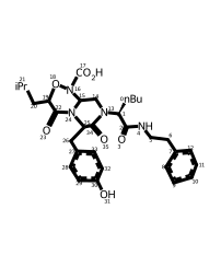 CCCC[C@@H](C(=O)NCCc1ccccc1)N1CC2N(C(=O)O)OC(CC(C)C)C(=O)N2C(Cc2ccc(O)cc2)C1=O